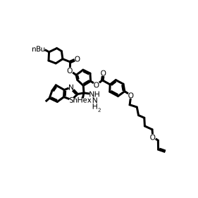 C=CCOCCCCCCOc1ccc(C(=O)Oc2ccc(OC(=O)C3CCC(CCCC)CC3)cc2C(CCCCCC)(NN)c2nc3ccc(C)cc3s2)cc1